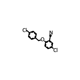 N#Cc1cc(Cl)ccc1OCc1ccc(Cl)cc1